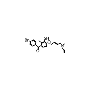 C=CCN(C)CC=CCOc1ccc(C(=O)c2ccc(Br)cc2)c(C)c1S